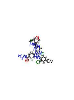 N#Cc1cc(F)c(Nc2nc3cnc(N[C@H]4CCOC[C@H]4F)nc3n2[C@H]2CC[C@H](C(N)=O)CC2)c(Cl)c1